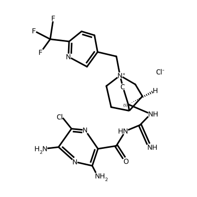 N=C(NC(=O)c1nc(Cl)c(N)nc1N)N[C@@H]1C[N+]2(Cc3ccc(C(F)(F)F)nc3)CCC1CC2.[Cl-]